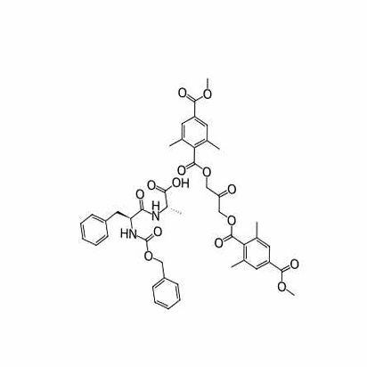 COC(=O)c1cc(C)c(C(=O)OCC(=O)COC(=O)c2c(C)cc(C(=O)OC)cc2C)c(C)c1.C[C@H](NC(=O)[C@H](Cc1ccccc1)NC(=O)OCc1ccccc1)C(=O)O